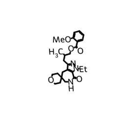 CCn1nc(CC(C)COC(=O)c2ccccc2OC)c2c1C(=O)NCC1(CCOCC1)C2